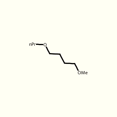 CCCOCCCCOC